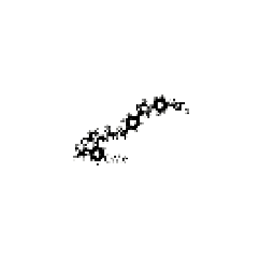 COc1ccc(CC(C)(F)F)c(N2C(=O)CS/C2=N\C(=O)NOCc2ccc(-c3ncn(-c4ccc(OC(F)(F)F)cc4)n3)cc2)c1